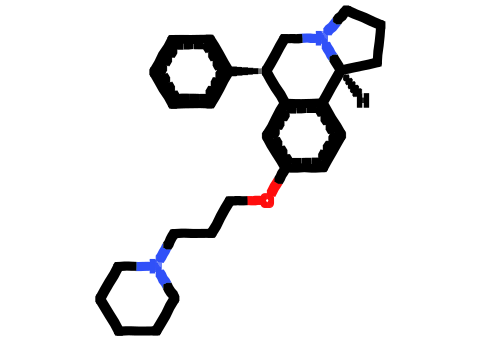 c1ccc([C@@H]2CN3CCC[C@H]3c3ccc(OCCCN4CCCCC4)cc32)cc1